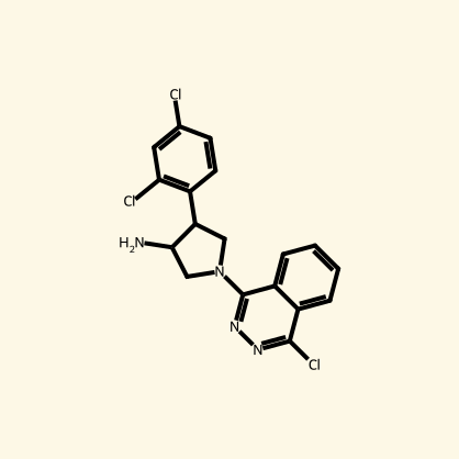 NC1CN(c2nnc(Cl)c3ccccc23)CC1c1ccc(Cl)cc1Cl